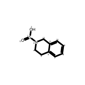 O=S(O)N1CCc2ccccc2C1